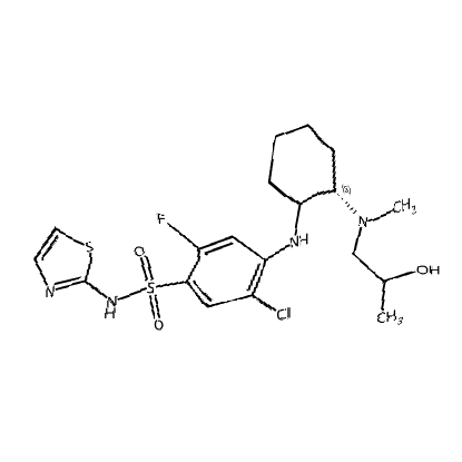 CC(O)CN(C)[C@H]1CCCCC1Nc1cc(F)c(S(=O)(=O)Nc2nccs2)cc1Cl